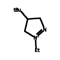 CC[N+]1=NCC(C(C)(C)C)C1